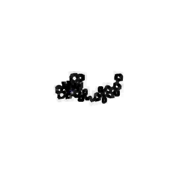 O=C(CCCc1ccc(-n2c(=O)c3ccc4oc5ccc(-c6ccccc6)cc5c5ccc(c2=O)c3c45)cc1)Oc1cc(Cl)c(/C(=C2\C=C3CCCc4ccccc4C3=[N+]2[BH-](F)F)c2cc3c([nH]2)-c2ccccc2CCC3)c(Cl)c1